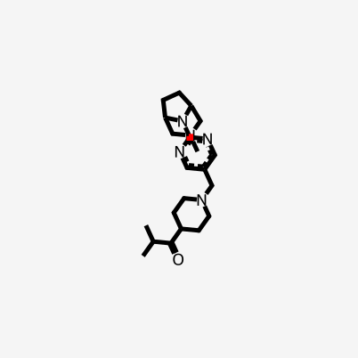 CC(C)C(=O)C1CCN(Cc2cnc(N3C4CCC3CN(C)C4)nc2)CC1